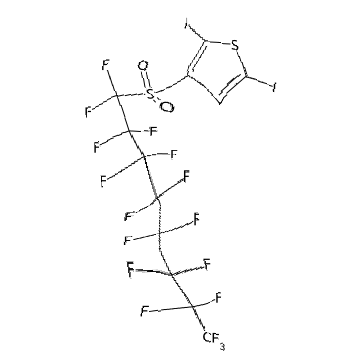 O=S(=O)(c1cc(I)sc1I)C(F)(F)C(F)(F)C(F)(F)C(F)(F)C(F)(F)C(F)(F)C(F)(F)C(F)(F)F